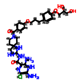 NC1=C(Cl)N=C(C(=O)NC2NCC3(CCN(C(=O)c4ccc(OCCCc5ccc(OC[C@@H](O)CO)cc5)cc4)CC3)N2)C(N)N1